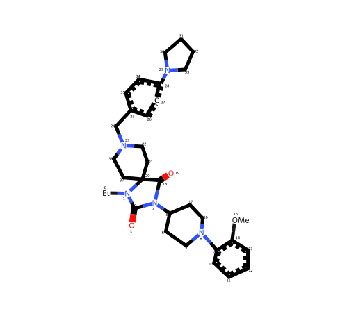 CCN1C(=O)N(C2CCN(c3ccccc3OC)CC2)C(=O)C12CCN(Cc1ccc(N3CCCC3)cc1)CC2